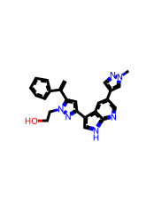 C=C(c1ccccc1)c1cc(-c2c[nH]c3ncc(-c4cnn(C)c4)cc23)nn1CCO